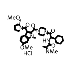 CNC(C)C(=O)NC(C(=O)N1CCN(C(=O)c2c(C(=O)N3CCC[C@@H]3COC)c3ccc(OC)cc3n2C)CC1)C1CCCCC1.Cl